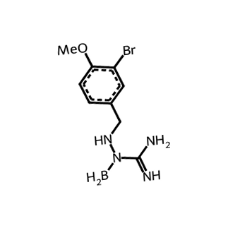 BN(NCc1ccc(OC)c(Br)c1)C(=N)N